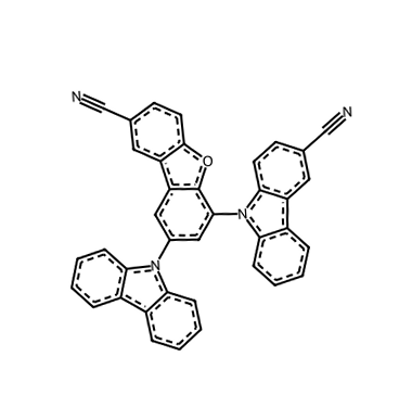 N#Cc1ccc2oc3c(-n4c5ccccc5c5cc(C#N)ccc54)cc(-n4c5ccccc5c5ccccc54)cc3c2c1